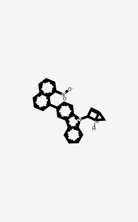 O=[N+]([O-])c1cccc2cccc(-c3ccc4c(c3)c3ccccc3n4C3C=C4C[C@H]43)c12